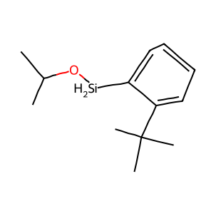 CC(C)O[SiH2]c1ccccc1C(C)(C)C